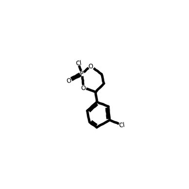 O=P1(Cl)OCCC(c2cccc(Cl)c2)O1